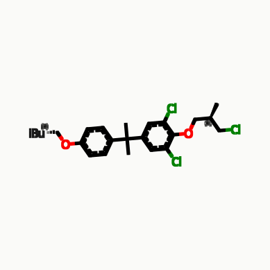 CC[C@@H](C)COc1ccc(C(C)(C)c2cc(Cl)c(OC[C@@H](C)CCl)c(Cl)c2)cc1